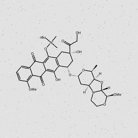 CCCC[N+](C)(C)Oc1c2c(c(O)c3c1C(=O)c1cccc(OC)c1C3=O)[C@@H](O[C@H]1C[C@H]3[C@H](O[C@@H]4[C@@H](OC)OCCN43)[C@H](C)O1)C[C@](O)(C(=O)CO)C2